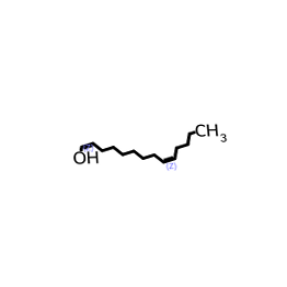 CCCC/C=C\CCCCCC/C=C\O